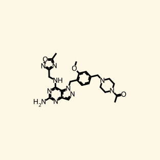 COc1cc(CN2CCN(C(C)=O)CC2)ccc1Cn1ncc2nc(N)nc(NCc3noc(C)n3)c21